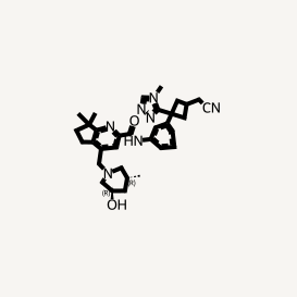 C[C@@H]1C[C@@H](O)CN(Cc2cc(C(=O)Nc3cccc(C4(c5nncn5C)CC(CC#N)C4)c3)nc3c2CCC3(C)C)C1